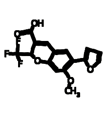 COc1cc2c(cc1-c1ccco1)C=C(C(=O)O)C(C(F)(F)F)O2